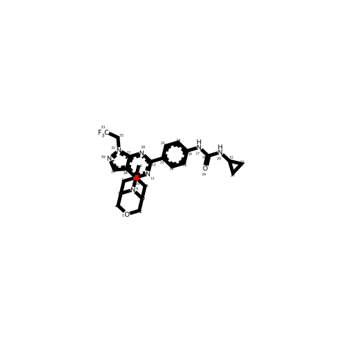 CN1CC2COCC(C1)N2c1nc(-c2ccc(NC(=O)NC3CC3)cc2)nc2c1cnn2CC(F)(F)F